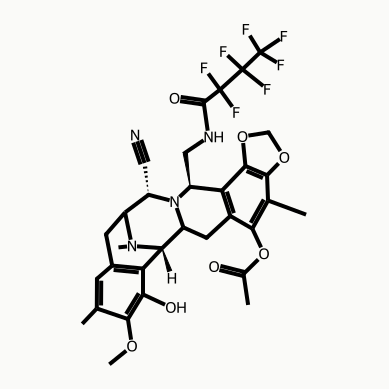 COc1c(C)cc2c(c1O)[C@H]1C3Cc4c(OC(C)=O)c(C)c5c(c4[C@H](CNC(=O)C(F)(F)C(F)(F)C(F)(F)F)N3[C@@H](C#N)C(C2)N1C)OCO5